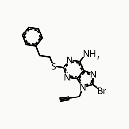 C#CCn1c(Br)nc2c(N)nc(SCCc3ccccc3)nc21